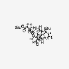 Cn1c(NC(=O)[C@@H]2N[C@@H](CC(C)(C)C)[C@@]3(C(=O)Nc4cc(Cl)ccc43)[C@H]2c2cccc(Cl)c2F)ccc1C(=O)OC(C)(C)C